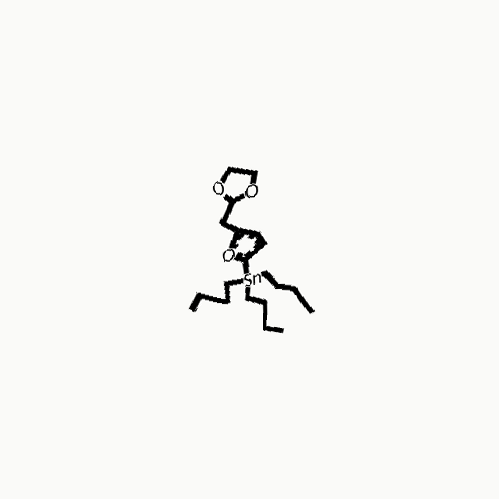 CCC[CH2][Sn]([CH2]CCC)([CH2]CCC)[c]1ccc(CC2OCCO2)o1